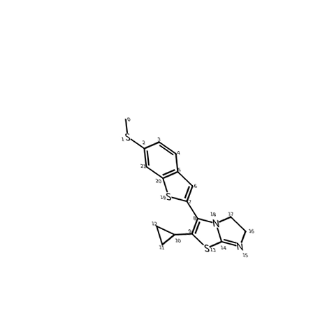 CSc1ccc2cc(C3=C(C4CC4)SC4=NCCN43)sc2c1